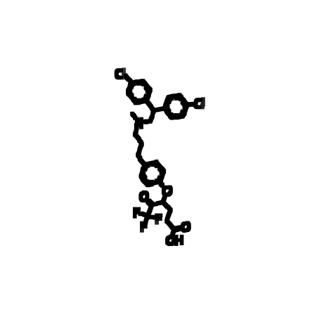 CN(CCCc1ccc(OC(CCC(=O)O)C(=O)C(F)(F)F)cc1)CC(c1ccc(Cl)cc1)c1ccc(Cl)cc1